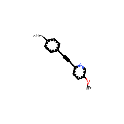 CCCCCCc1ccc(C#Cc2ccc(OCCC)cn2)cc1